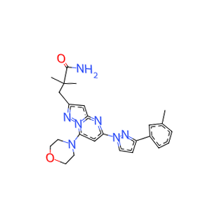 Cc1cccc(-c2ccn(-c3cc(N4CCOCC4)n4nc(CC(C)(C)C(N)=O)cc4n3)n2)c1